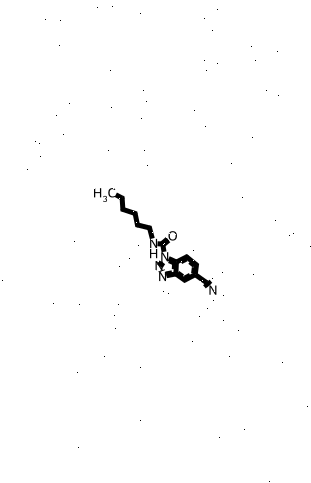 CCCCCCNC(=O)n1nnc2cc(C#N)ccc21